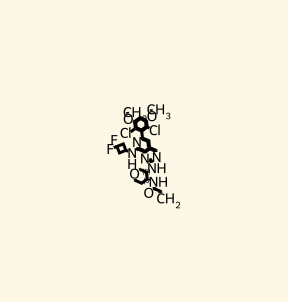 C=CC(=O)N[C@H]1CCOC[C@H]1Nc1ncc2cc(-c3c(Cl)c(OC)cc(OC)c3Cl)nc(NC3CC(F)(F)C3)c2n1